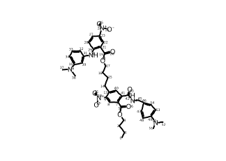 CCCCOC(=O)c1cc([N+](=O)[O-])c(CCCCOC(=O)c2cc([N+](=O)[O-])ccc2Nc2cccc(N(C)C)c2)cc1C(=O)NCc1ccc(N(C)C)cc1